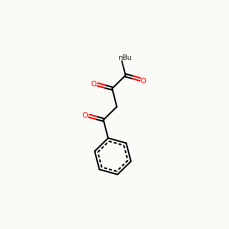 CCCCC(=O)C(=O)CC(=O)c1ccccc1